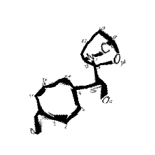 CC1=CC=C(C(=O)N2CC3CCC2CO3)CC=C1